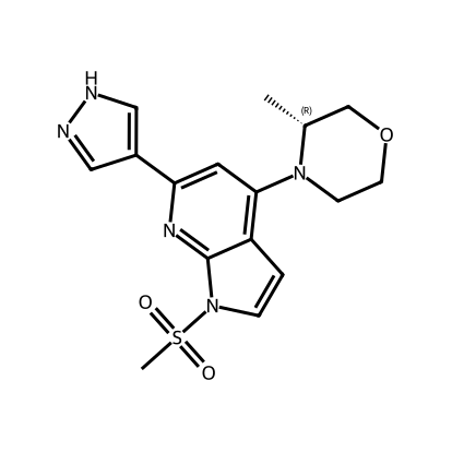 C[C@@H]1COCCN1c1cc(-c2cn[nH]c2)nc2c1ccn2S(C)(=O)=O